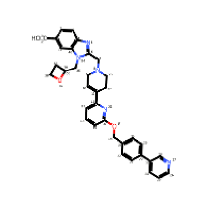 O=C(O)c1ccc2nc(CN3CC=C(c4cccc(OCc5ccc(-c6cccnc6)cc5)n4)CC3)n(C[C@@H]3CCO3)c2c1